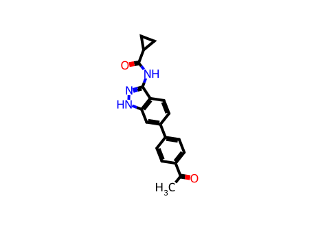 CC(=O)c1ccc(-c2ccc3c(NC(=O)C4CC4)n[nH]c3c2)cc1